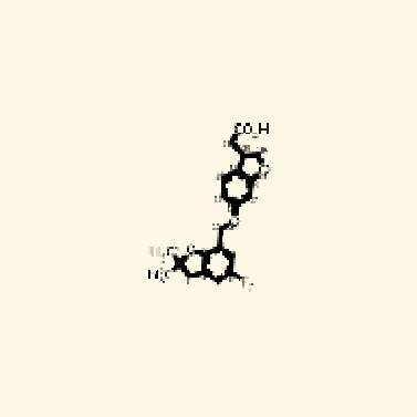 CC1(C)Cc2cc(F)cc(COc3ccc4c(c3)OCC4CC(=O)O)c2O1